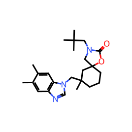 Cc1cc2ncn(CC3(C)CCCC4(CN(CC(C)(C)C)C(=O)O4)C3)c2cc1C